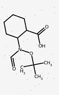 CC(C)(C)ON(C=O)C1CCCCC1C(=O)O